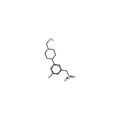 CCN1CCC(c2cc(F)cc(C[SH](=O)=O)c2)CC1